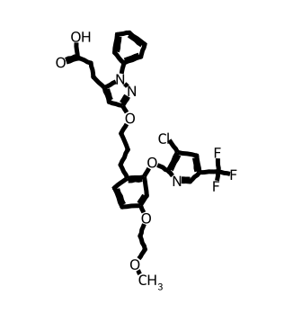 COCCOc1ccc(CCCOc2cc(CCC(=O)O)n(-c3ccccc3)n2)c(Oc2ncc(C(F)(F)F)cc2Cl)c1